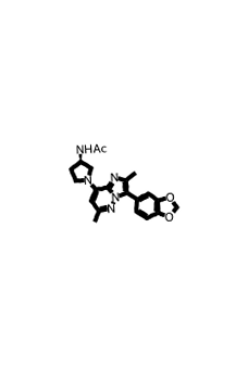 CC(=O)N[C@@H]1CCN(c2cc(C)nn3c(-c4ccc5c(c4)OCO5)c(C)nc23)C1